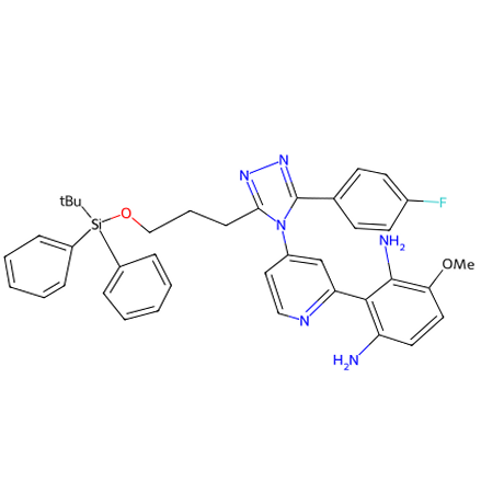 COc1ccc(N)c(-c2cc(-n3c(CCCO[Si](c4ccccc4)(c4ccccc4)C(C)(C)C)nnc3-c3ccc(F)cc3)ccn2)c1N